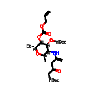 C=CCOC(=O)O[C@H]1[C@H](OCCCCCCCCCC)[C@@H](NC(=C)CC(=O)CCCCCCCCCCC)[C@@H](C)O[C@@H]1CC